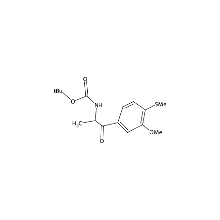 COc1cc(C(=O)C(C)NC(=O)OC(C)(C)C)ccc1SC